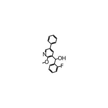 COc1ncc(-c2ccccc2)cc1C(O)c1ccccc1F